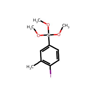 CO[Si](OC)(OC)c1ccc(I)c(C)c1